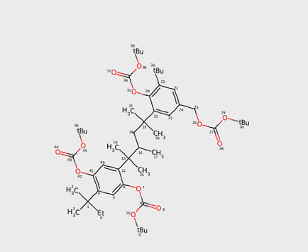 CCC(C)(C)c1cc(OC(=O)OC(C)(C)C)c(C(C)(C)C(C)CC(C)(C)c2cc(COC(=O)OC(C)(C)C)cc(C(C)(C)C)c2OC(=O)OC(C)(C)C)cc1OC(=O)OC(C)(C)C